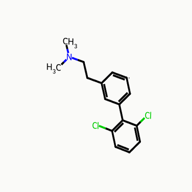 CN(C)CCc1c[c]cc(-c2c(Cl)cccc2Cl)c1